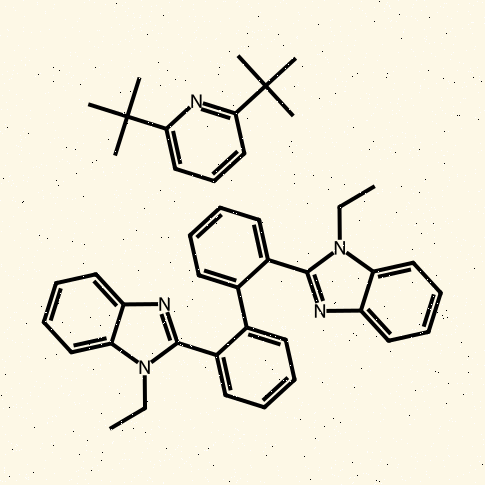 CC(C)(C)c1cccc(C(C)(C)C)n1.CCn1c(-c2ccccc2-c2ccccc2-c2nc3ccccc3n2CC)nc2ccccc21